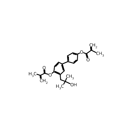 C=C(C)C(=O)Oc1ccc(-c2ccc(OC(=O)C(=C)C)c(CC(C)(C)O)c2)cc1